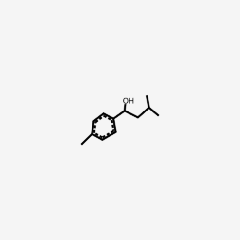 Cc1ccc(C(O)CC(C)C)cc1